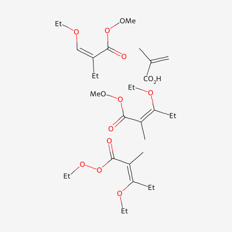 C=C(C)C(=O)O.CCOC(CC)=C(C)C(=O)OOC.CCOC=C(CC)C(=O)OOC.CCOOC(=O)C(C)=C(CC)OCC